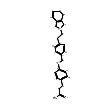 O=C(O)CCc1ccc(OCc2ccc(CCN3CC4=C(CCC=C4)C3)cc2)cc1